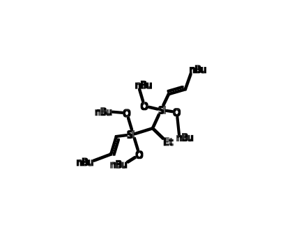 CCCCC=C[Si](OCCCC)(OCCCC)C(CC)[Si](C=CCCCC)(OCCCC)OCCCC